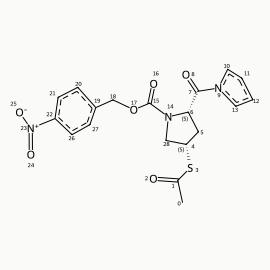 CC(=O)S[C@H]1C[C@@H](C(=O)n2cccc2)N(C(=O)OCc2ccc([N+](=O)[O-])cc2)C1